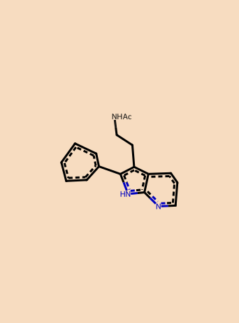 CC(=O)NCCc1c(-c2ccccc2)[nH]c2ncccc12